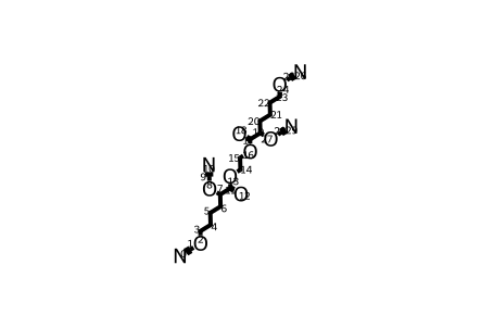 N#COCCCCC(OC#N)C(=O)OCCOC(=O)C(CCCCOC#N)OC#N